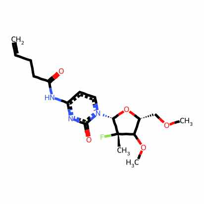 C=CCCC(=O)Nc1ccn([C@@H]2O[C@H](COC)C(OC)[C@]2(C)F)c(=O)n1